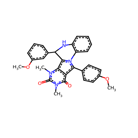 COc1ccc(-c2c3c(=O)n(C)c(=O)n(C)c3c3n2-c2ccccc2NC3c2cccc(OC)c2)cc1